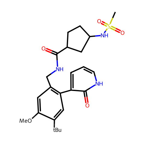 COc1cc(CNC(=O)C2CCC(NS(C)(=O)=O)C2)c(-c2ccc[nH]c2=O)cc1C(C)(C)C